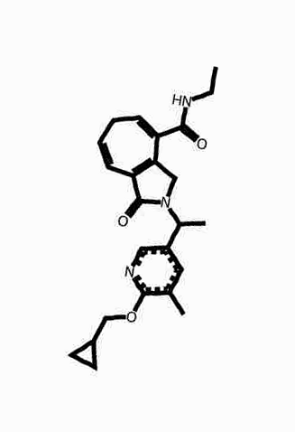 CCNC(=O)C1=CCC=CC2=C1CN(C(C)c1cnc(OCC3CC3)c(C)c1)C2=O